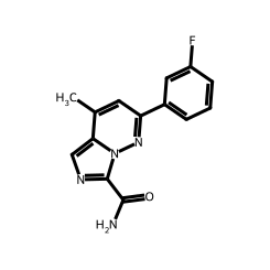 Cc1cc(-c2cccc(F)c2)nn2c(C(N)=O)ncc12